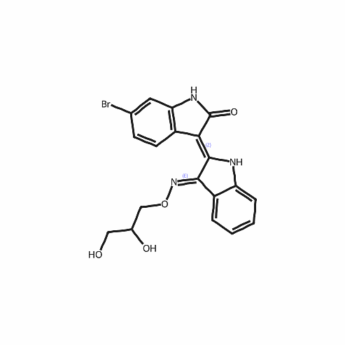 O=C1Nc2cc(Br)ccc2/C1=C1/Nc2ccccc2/C1=N\OCC(O)CO